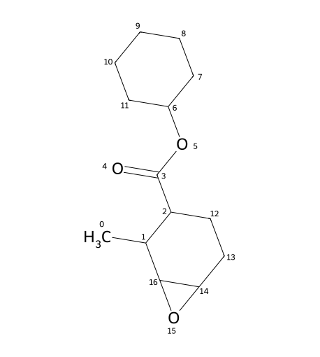 CC1C(C(=O)OC2CCCCC2)CCC2OC21